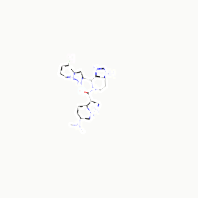 CN(C)c1ccc2c(C(=O)N3CCc4[nH]cnc4C3c3cc4c(Cl)cccn4n3)cnn2c1